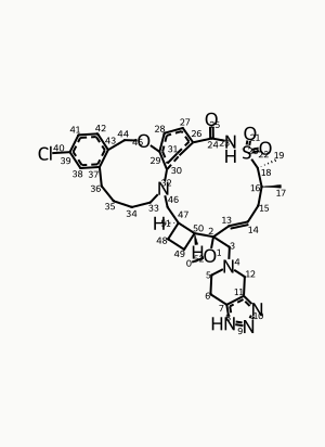 COC1(CN2CCc3[nH]nnc3C2)/C=C/C[C@H](C)[C@@H](C)S(=O)(=O)NC(=O)c2ccc3c(c2)N(CCCCc2cc(Cl)ccc2CO3)C[C@@H]2CC[C@H]21